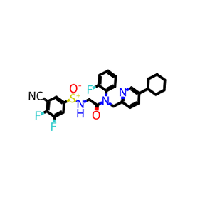 N#Cc1cc([S+]([O-])NCC(=O)N(Cc2ccc(C3CCCCC3)cn2)c2ccccc2F)cc(F)c1F